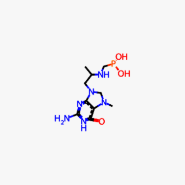 CC(CN1CN(C)c2c1nc(N)[nH]c2=O)NCP(O)O